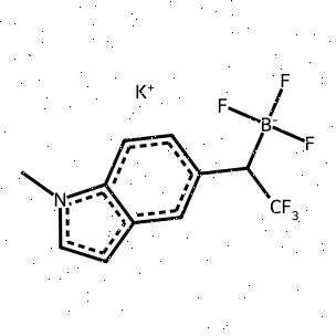 Cn1ccc2cc(C([B-](F)(F)F)C(F)(F)F)ccc21.[K+]